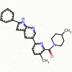 Cc1ccc(-c2cnc3[nH]c(-c4ccccc4)cc3c2)nc1C(=O)N1CCC(C)CC1